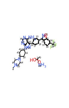 CC(=O)O.CN1CCN(C2CCC(n3nc(-c4ccc(-c5noc6cc(C(F)(F)F)ccc56)cc4)c4c(N)ncnc43)CC2)CC1.N